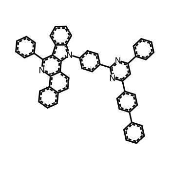 c1ccc(-c2ccc(-c3cc(-c4ccccc4)nc(-c4ccc(-n5c6ccccc6c6c(-c7ccccc7)nc7c8ccccc8ccc7c65)cc4)n3)cc2)cc1